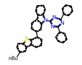 CCCCc1ccc2sc3c(-c4ccc5c6ccccc6n(-c6nc(-c7ccccc7)nc(-c7ccccc7)n6)c5c4)cccc3c2c1